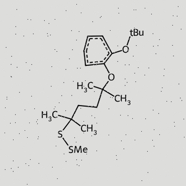 CSSC(C)(C)CCC(C)(C)Oc1ccccc1OC(C)(C)C